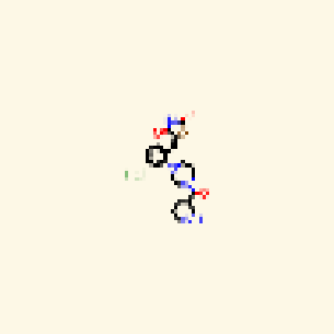 Cl.O=C1NC(=O)C(=Cc2ccccc2N2CCCN(C(=O)C3CCCNC3)CC2)S1